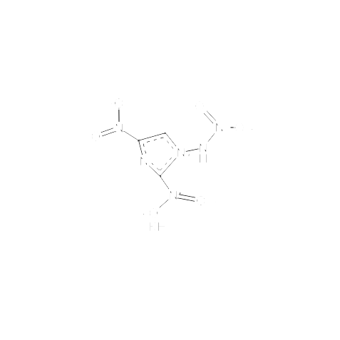 O=[N+]([O-])Nn1cc([N+](=O)[O-])nc1[N+](=O)[O-].[KH]